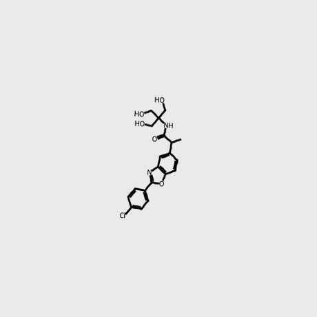 CC(C(=O)NC(CO)(CO)CO)c1ccc2oc(-c3ccc(Cl)cc3)nc2c1